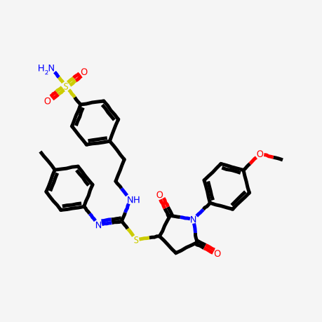 COc1ccc(N2C(=O)CC(S/C(=N/c3ccc(C)cc3)NCCc3ccc(S(N)(=O)=O)cc3)C2=O)cc1